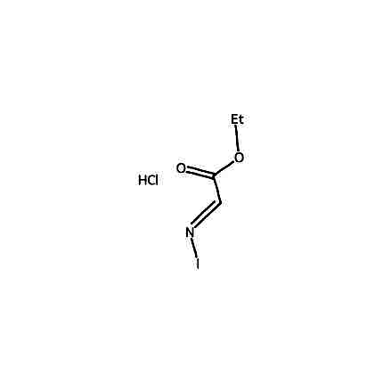 CCOC(=O)C=NI.Cl